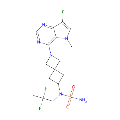 Cn1cc(Cl)c2ncnc(N3CC4(CC(N(CC(C)(F)F)S(N)(=O)=O)C4)C3)c21